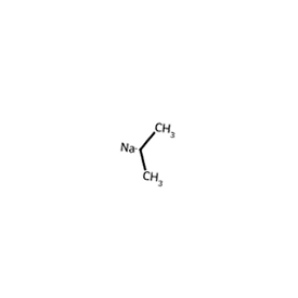 CCC.[Na]